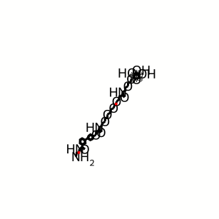 C[C@@H]1O[C@@H](OCCOCCNC(=O)CCOCCOCCOCCOCCNC(=O)COc2ccc(-c3cccc(C(=O)NCCN)c3)cc2)[C@H](O)[C@H](O)[C@H]1O